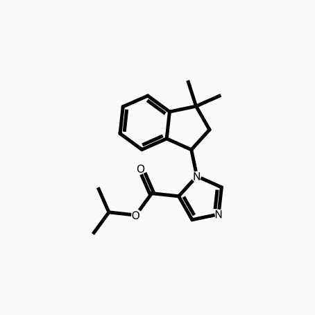 CC(C)OC(=O)c1cncn1C1CC(C)(C)c2ccccc21